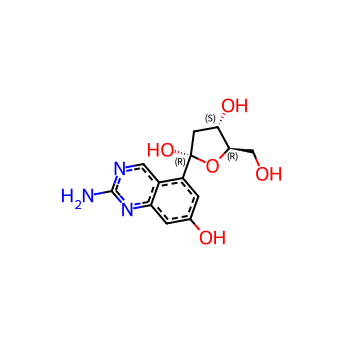 Nc1ncc2c([C@@]3(O)C[C@H](O)[C@@H](CO)O3)cc(O)cc2n1